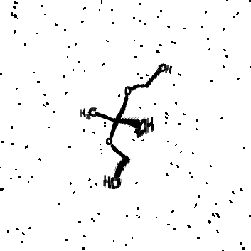 CC(O)(OCO)OCO